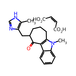 Cc1[nH]cnc1CC1CCCc2c(c3ccccc3n2C)C1=O.O=C(O)/C=C\C(=O)O